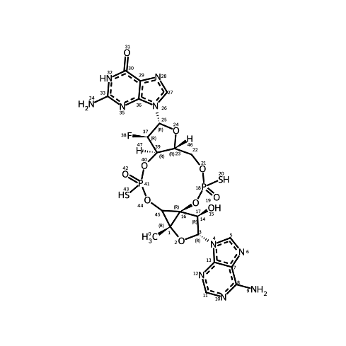 C[C@]12O[C@@H](n3cnc4c(N)ncnc43)[C@H](O)[C@]13OP(=O)(S)OC[C@H]1O[C@@H](n4cnc5c(=O)[nH]c(N)nc54)[C@H](F)[C@@H]1OP(=O)(S)OC23